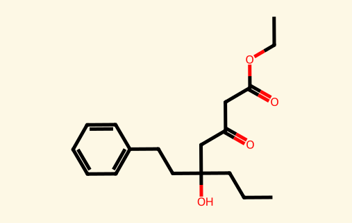 CCCC(O)(CCc1ccccc1)CC(=O)CC(=O)OCC